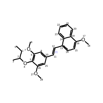 CCC(C)Oc1c(OC)cc(/C=C/c2ccc(OC)c3ccccc23)cc1OC